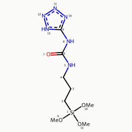 CO[Si](CCCNC(=O)Nc1nnn[nH]1)(OC)OC